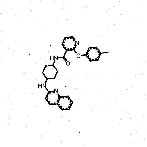 Cc1ccc(Oc2ncccc2C(=O)NC2CCC(Nc3ccc4ccccc4n3)CC2)cc1